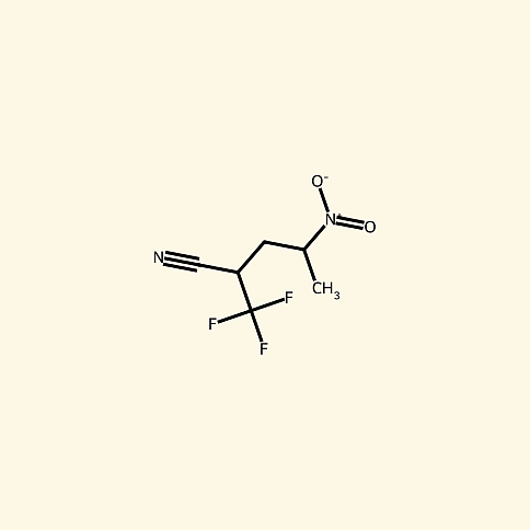 CC(CC(C#N)C(F)(F)F)[N+](=O)[O-]